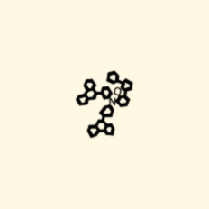 c1ccc(-c2cccc3c2oc2c(N(c4ccc(-c5cc6ccccc6c6ccccc56)cc4)c4cccc(-c5cc6ccccc6c6ccccc56)c4)cccc23)cc1